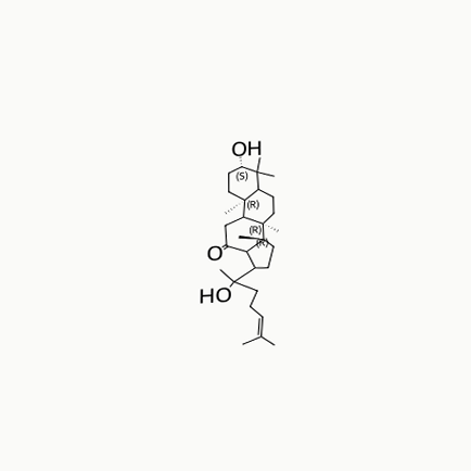 CC(C)=CCCC(C)(O)C1CC[C@]2(C)C1C(=O)CC1[C@@]3(C)CC[C@H](O)C(C)(C)C3CC[C@]12C